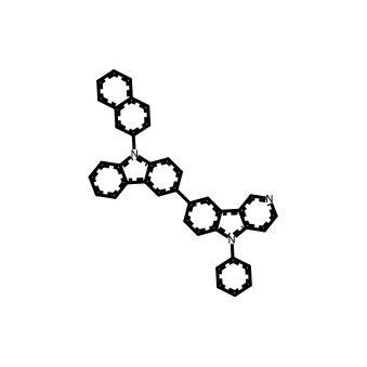 c1ccc(-n2c3ccncc3c3cc(-c4ccc5c(c4)c4ccccc4n5-c4ccc5ccccc5c4)ccc32)cc1